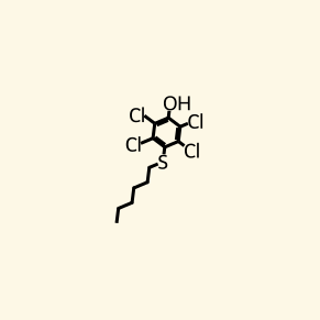 CCCCCCSc1c(Cl)c(Cl)c(O)c(Cl)c1Cl